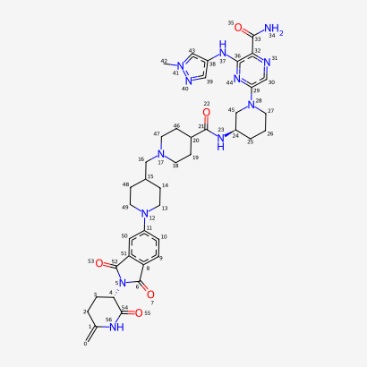 C=C1CC[C@H](N2C(=O)c3ccc(N4CCC(CN5CCC(C(=O)N[C@@H]6CCCN(c7cnc(C(N)=O)c(Nc8cnn(C)c8)n7)C6)CC5)CC4)cc3C2=O)C(=O)N1